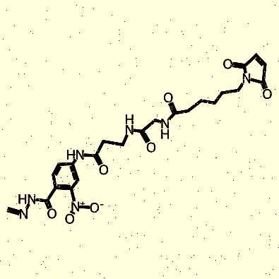 C=NNC(=O)c1ccc(NC(=O)CCNC(=O)CNC(=O)CCCCCN2C(=O)C=CC2=O)cc1[N+](=O)[O-]